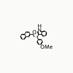 COc1ccc([C@H](CC(=O)c2ccc3ccccc3c2)c2c[nH]c3ccccc23)cc1